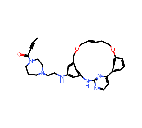 CC#CC(=O)N1CCCN(CCNc2cc3cc(c2)Nc2nccc(n2)-c2cccc(c2)OCC/C=C/COC3)CC1